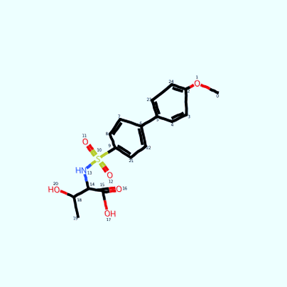 COc1ccc(-c2ccc(S(=O)(=O)NC(C(=O)O)C(C)O)cc2)cc1